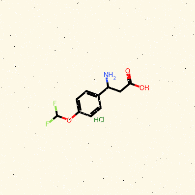 Cl.NC(CC(=O)O)c1ccc(OC(F)F)cc1